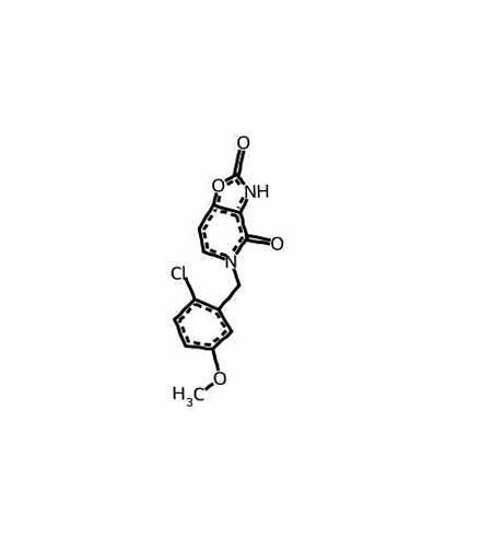 COc1ccc(Cl)c(Cn2ccc3oc(=O)[nH]c3c2=O)c1